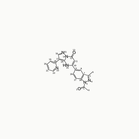 CC(=O)n1nc(C)c2cc(-c3cc(=O)n4ncc(-c5ccccn5)c4[nH]3)ccc21